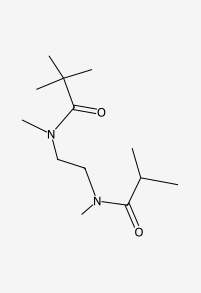 CC(C)C(=O)N(C)CCN(C)C(=O)C(C)(C)C